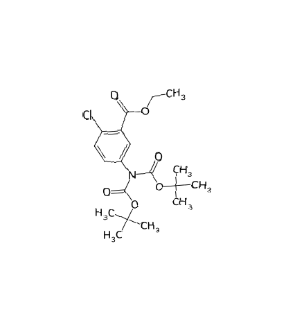 CCOC(=O)c1cc(N(C(=O)OC(C)(C)C)C(=O)OC(C)(C)C)ccc1Cl